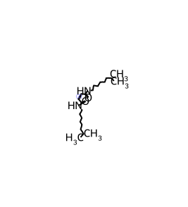 CC(C)CCCCCCNC(=O)/C=C\C(=O)NCCCCCCC(C)C